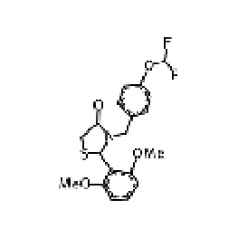 COc1cccc(OC)c1C1SCC(=O)N1Cc1ccc(OC(F)F)cc1